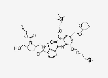 C=CCOC(=O)N1C(CO)CCC1Cn1sc2c(-c3nc4c(OCOCC[Si](C)(C)C)cc(COC5CCCCO5)cc4n(COCC[Si](C)(C)C)c3=O)cccc2c1=O